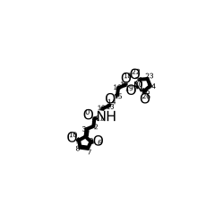 O=C(CC=C1C(=O)C=CC1=O)NCCOCCC(=O)ON1C(=O)CCC1=O